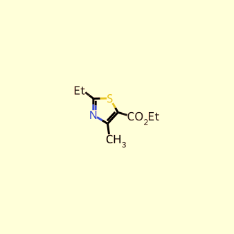 CCOC(=O)c1sc(CC)nc1C